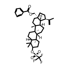 C=C(C)[C@@H]1CC[C@]2(COC(=O)c3ccccc3)CC[C@]3(C)[C@H](CC[C@@H]4[C@@]5(C)CCC(OS(=O)(=O)C(F)(F)F)C(C)(C)[C@@H]5CC[C@]43C)[C@@H]12